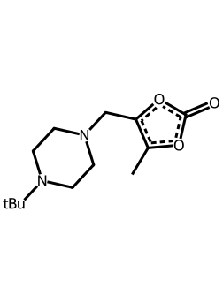 Cc1oc(=O)oc1CN1CCN(C(C)(C)C)CC1